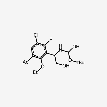 CCOc1c(C(C)=O)cc(Cl)c(F)c1C(CO)NC(O)OC(C)(C)C